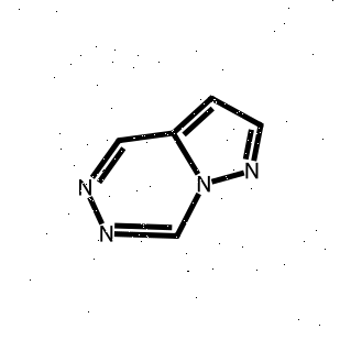 c1cc2cnncn2n1